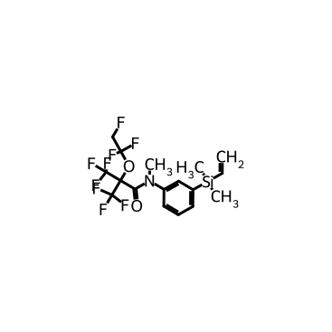 C=C[Si](C)(C)c1cccc(N(C)C(=O)C(OC(F)(F)CF)(C(F)(F)F)C(F)(F)F)c1